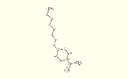 CCCCCCCCC1CCC(C(C)C)CC1